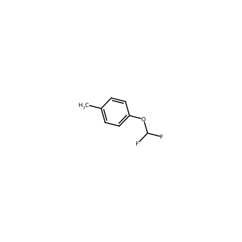 Cc1[c]cc(OC(F)F)cc1